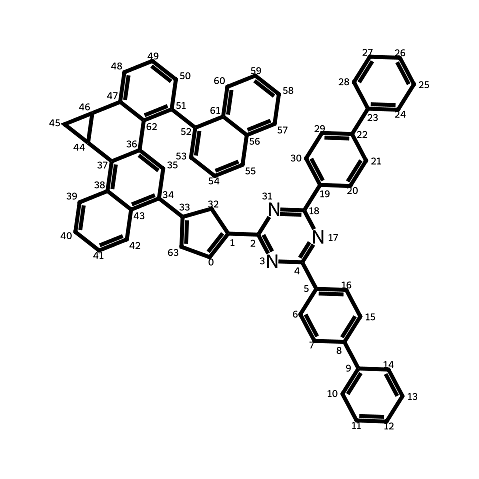 C1=C(c2nc(-c3ccc(-c4ccccc4)cc3)nc(-c3ccc(-c4ccccc4)cc3)n2)CC(c2cc3c(c4ccccc24)C2CC2c2cccc(-c4cccc5ccccc45)c2-3)=C1